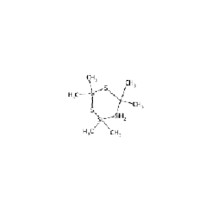 CC1(C)[SiH2][Si](C)(C)S[Si](C)(C)S1